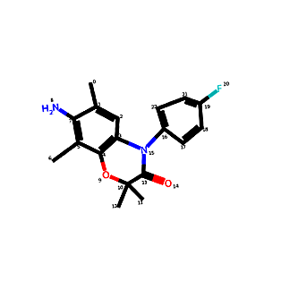 Cc1cc2c(c(C)c1N)OC(C)(C)C(=O)N2c1ccc(F)cc1